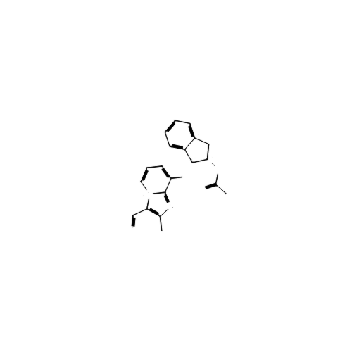 CC(=O)O[C@@H]1Cc2ccccc2[C@H]1Oc1cccn2c(C=O)c(C)nc12